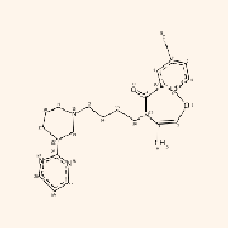 CC1=COc2ccc(F)cc2C(=O)N1CCCCN1CCCC(c2ncccn2)C1